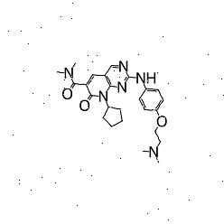 CN(C)CCOc1ccc(Nc2ncc3cc(C(=O)N(C)C)c(=O)n(C4CCCC4)c3n2)cc1